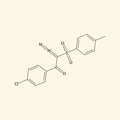 Cc1ccc(S(=O)(=O)C(=[N+]=[N-])C(=O)c2ccc(Cl)cc2)cc1